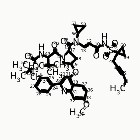 CCC#CCC1(S(=O)(=O)NC(=O)C=CN(C(=O)C2CC(Oc3cc(-c4ccccc4)nc4cc(OC)ccc34)CN2C(=O)C(NC(=O)OC(C)(C)C)C(C)(C)C)C2CC2)CC1